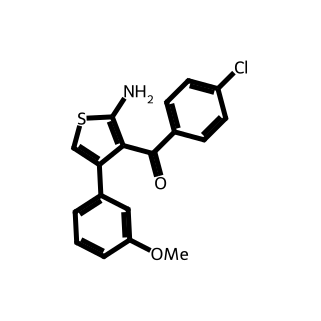 COc1cccc(-c2csc(N)c2C(=O)c2ccc(Cl)cc2)c1